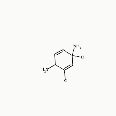 NC1C=CC(N)(Cl)C=C1Cl